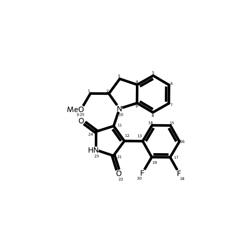 COCC1Cc2ccccc2N1C1=C(c2cccc(F)c2F)C(=O)NC1=O